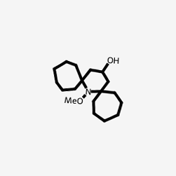 CON1C2(CCCCCC2)CC(O)CC12CCCCCC2